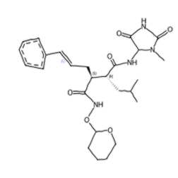 CC(C)C[C@@H](C(=O)NC1C(=O)NC(=O)N1C)[C@H](C/C=C/c1ccccc1)C(=O)NOC1CCCCO1